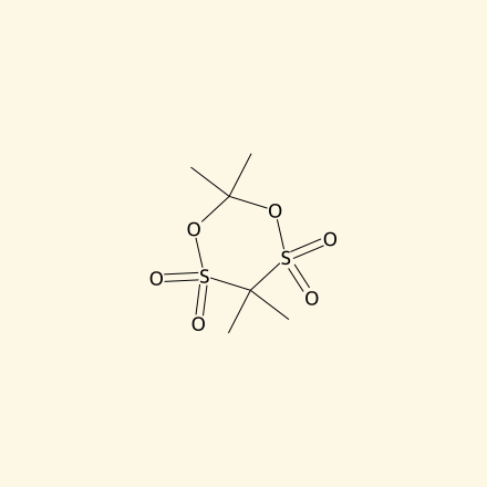 CC1(C)OS(=O)(=O)C(C)(C)S(=O)(=O)O1